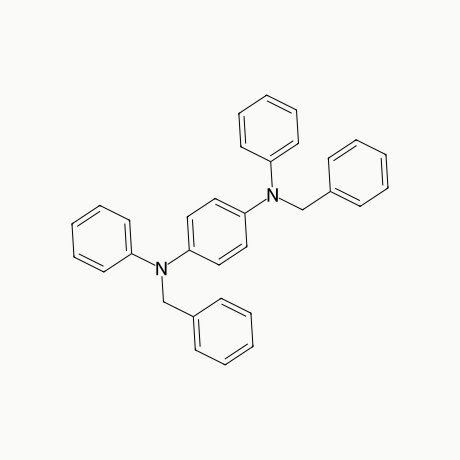 c1ccc(CN(c2ccccc2)c2ccc(N(Cc3ccccc3)c3ccccc3)cc2)cc1